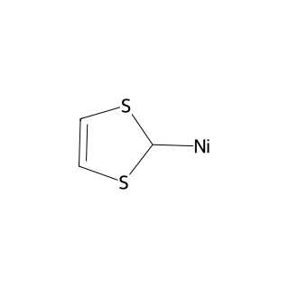 [Ni][CH]1SC=CS1